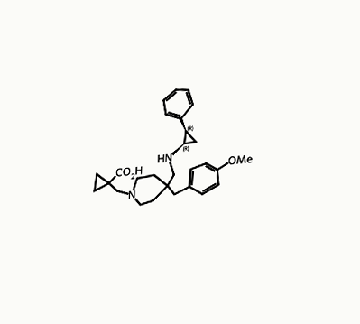 COc1ccc(CC2(CN[C@@H]3C[C@@H]3c3ccccc3)CCN(CC3(C(=O)O)CC3)CC2)cc1